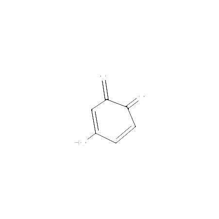 O=C1C=CC(O)=CC1=O